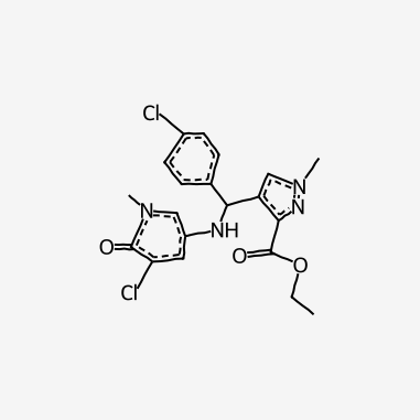 CCOC(=O)c1nn(C)cc1C(Nc1cc(Cl)c(=O)n(C)c1)c1ccc(Cl)cc1